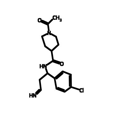 CC(=O)N1CCC(C(=O)NC(CC=N)c2ccc(Cl)cc2)CC1